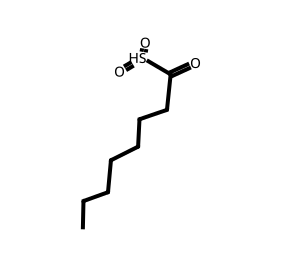 CCCCCCCC(=O)[SH](=O)=O